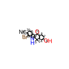 CC1(C)c2cc(O)ccc2C(=O)c2c1[nH]c1c(Br)c(C#N)ccc21